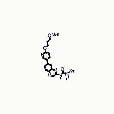 COCCCOc1ccc(-c2ccc3ncc(N(C)C(=O)NC(C)C)nc3c2)cn1